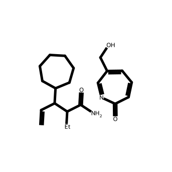 C=CC(C1CCCCCC1)C(CC)C(N)=O.O=c1cccc(CO)cn1